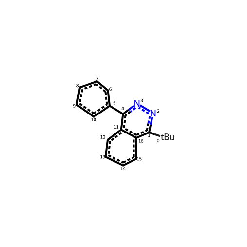 CC(C)(C)c1nnc(-c2ccccc2)c2ccccc12